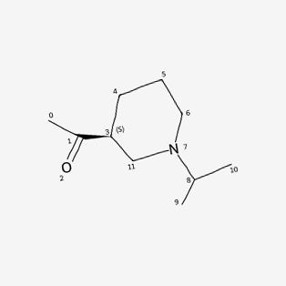 CC(=O)[C@H]1CCCN(C(C)C)C1